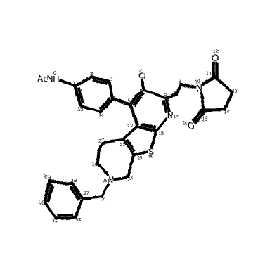 CC(=O)Nc1ccc(-c2c(Cl)c(CN3C(=O)CCC3=O)nc3sc4c(c23)CCN(Cc2ccccc2)C4)cc1